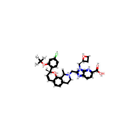 [2H]C([2H])([2H])Oc1cc(Cl)ccc1[C@@]1(C)C=Cc2ccc3c(c2O1)C(C)N(Cc1nc2ccc(C(=O)O)nc2n1C[C@@H]1CCO1)CC3